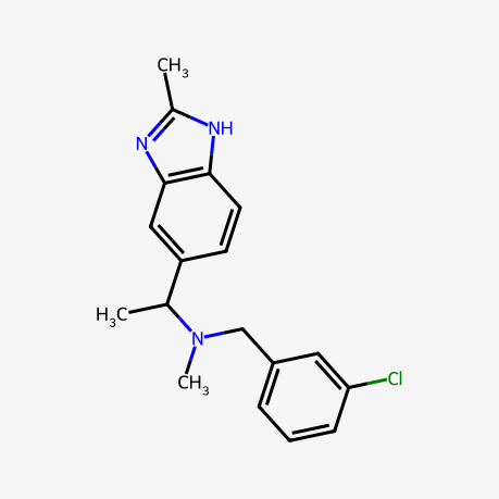 Cc1nc2cc(C(C)N(C)Cc3cccc(Cl)c3)ccc2[nH]1